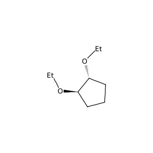 CCO[C@@H]1CCC[C@H]1OCC